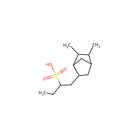 CCC(CC1CC2CC1C(C)C2C)S(=O)(=O)O